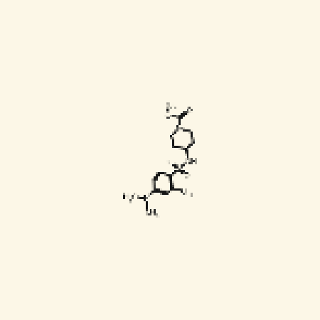 CN(C)c1ccc(S(=O)(=O)NC2CCN(C(=O)OC(C)(C)C)CC2)c(C(F)(F)F)c1